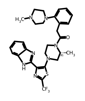 C[C@@H]1CN(c2sc(C(F)(F)F)nc2-c2nc3ccccc3[nH]2)CCN1C(=O)Cc1ccccc1N1CCN(C)CC1